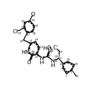 Cc1ccc([C@H](CC(=O)O)NC(=O)Nc2ccc(Cc3ccc(Cl)cc3Cl)[nH]c2=O)cc1